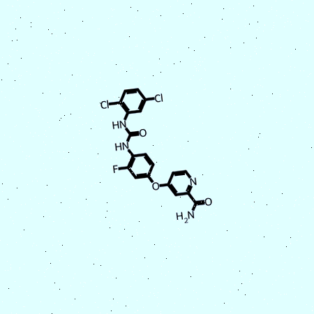 NC(=O)c1cc(Oc2ccc(NC(=O)Nc3cc(Cl)ccc3Cl)c(F)c2)ccn1